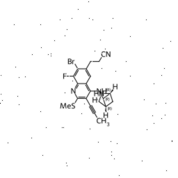 CC#Cc1c(SC)nc2c(F)c(Br)c(CCC#N)cc2c1N[C@@H]1[C@H]2CN[C@@H]1C2